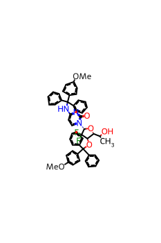 COc1ccc(C(Nc2ccn([C@@H]3O[C@H]([C@H](C)O)[C@@H](OC(c4ccccc4)(c4ccccc4)c4ccc(OC)cc4)C3(F)F)c(=O)n2)(c2ccccc2)c2ccccc2)cc1